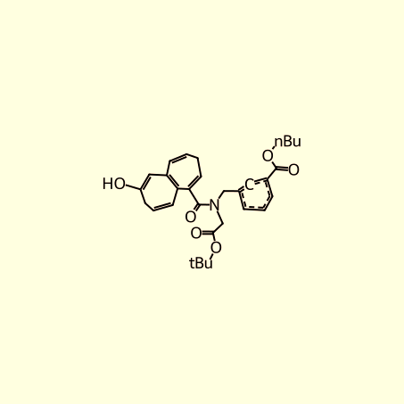 CCCCOC(=O)c1cccc(CN(CC(=O)OC(C)(C)C)C(=O)C2=CCC=CC3=C2C=CCC(O)=C3)c1